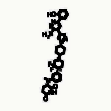 CN(c1cccc([C@@H]2CCN(C3CCC(n4cc(-c5cc(-c6ccccc6O)nnc5N)cn4)CC3)CC2(F)F)c1)[C@@H]1CCC(=O)NC1=O